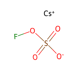 O=S(=O)([O-])OF.[Cs+]